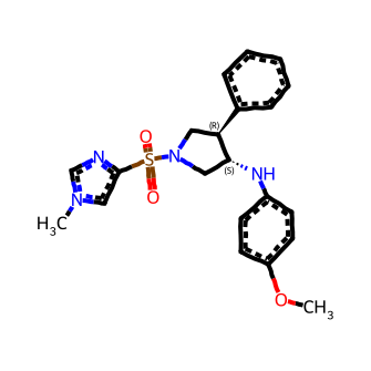 COc1ccc(N[C@@H]2CN(S(=O)(=O)c3cn(C)cn3)C[C@H]2c2ccccc2)cc1